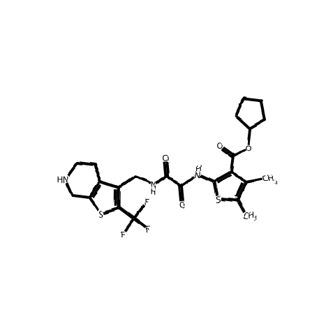 Cc1sc(NC(=O)C(=O)NCc2c(C(F)(F)F)sc3c2CCNC3)c(C(=O)OC2CCCC2)c1C